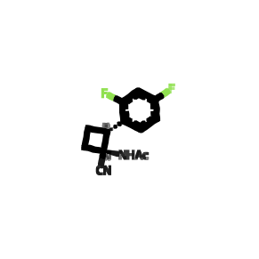 CC(=O)N[C@@]1(C#N)CC[C@@H]1c1ccc(F)cc1F